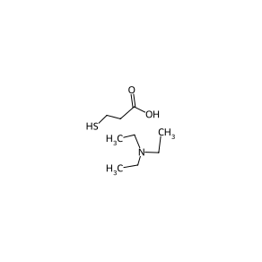 CCN(CC)CC.O=C(O)CCS